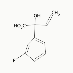 C=CC(O)(C(=O)O)c1cccc(F)c1